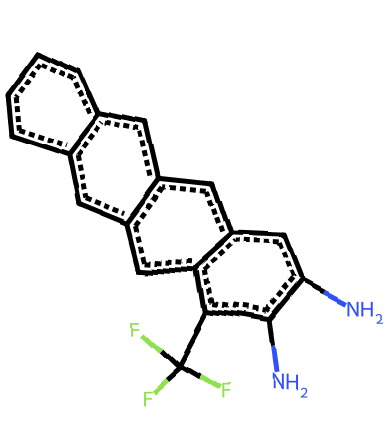 Nc1cc2cc3cc4ccccc4cc3cc2c(C(F)(F)F)c1N